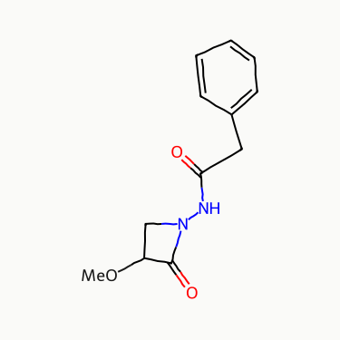 COC1CN(NC(=O)Cc2ccccc2)C1=O